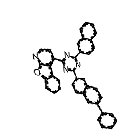 c1ccc(-c2ccc3cc(-c4nc(-c5ccc6ccccc6c5)nc(-c5ccnc6oc7ccccc7c56)n4)ccc3c2)cc1